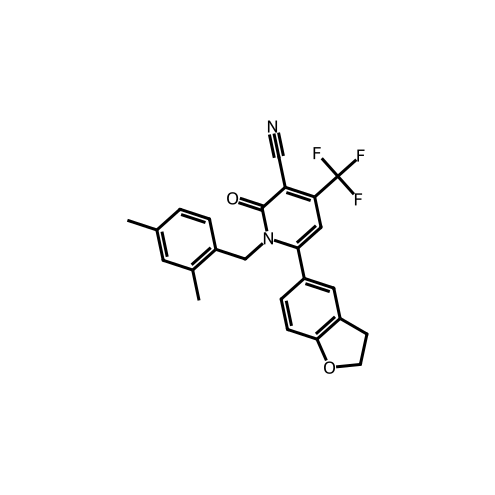 Cc1ccc(Cn2c(-c3ccc4c(c3)CCO4)cc(C(F)(F)F)c(C#N)c2=O)c(C)c1